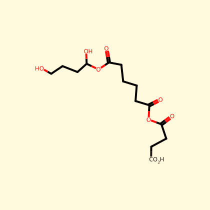 O=C(O)CCC(=O)OC(=O)CCCCC(=O)OC(O)CCCO